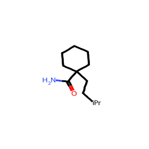 CC(C)CCC1(C(N)=O)CCCCC1